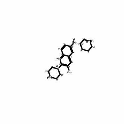 Clc1cc2cc(N[C@H]3CCCNC3)ccc2nc1N1CCNCC1